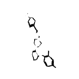 COc1ccc(COCN2CCN(c3ccccc3Sc3ccc(C)cc3C)CC2)cc1